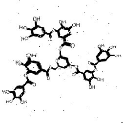 O=C(OC[C@@H]1C[C@H](OC(=O)c2cc(O)c(O)c(OC(=O)c3cc(O)c(O)c(O)c3)c2)CC(OC(=O)c2cc(O)c(O)c(OC(=O)c3cc(O)c(O)c(O)c3)c2)O1)c1cc(O)c(O)c(OC(=O)c2cc(O)c(O)c(O)c2)c1